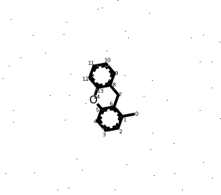 Cc1cccc2c1Cc1ccccc1O2